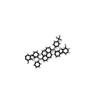 Cc1cccc2c1oc1c(N(c3ccccc3)c3ccc4ccc5c(N(c6ccc(C(C)(C)C)cc6)c6cccc7c6oc6c(C)cccc67)ccc6ccc3c4c65)cccc12